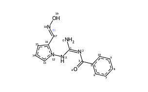 NC(=NC(=O)c1ccccc1)Nn1cccc1/C=N/O